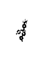 Cc1cccc(-c2ccc3nc(-c4ccc(C(=O)C(F)(F)F)cc4)c(CN4CCN(C)CC4)n3c2)c1